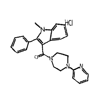 Cl.Cn1c(-c2ccccc2)c(C(=O)N2CCN(c3ccccn3)CC2)c2ccccc21